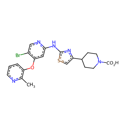 Cc1ncccc1Oc1cc(Nc2nc(C3CCN(C(=O)O)CC3)cs2)ncc1Br